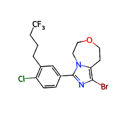 FC(F)(F)CCCc1cc(-c2nc(Br)c3n2CCOCC3)ccc1Cl